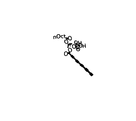 C#CC#CC#CC#CC#CC(=O)OC[C@H](COP(=O)(O)O)OC(=O)CCCCCCCC